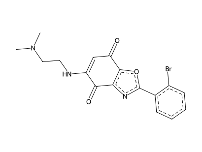 CN(C)CCNC1=CC(=O)c2oc(-c3ccccc3Br)nc2C1=O